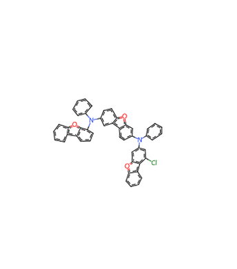 Clc1cc(N(c2ccccc2)c2ccc3c(c2)oc2ccc(N(c4ccccc4)c4cccc5c4oc4ccccc45)cc23)cc2oc3ccccc3c12